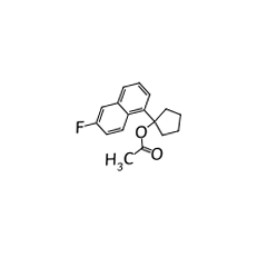 CC(=O)OC1(c2cccc3cc(F)ccc23)CCCC1